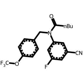 CCCCC(=O)N(Cc1ccc(OC(F)(F)F)cc1)c1cc(F)cc(C#N)c1